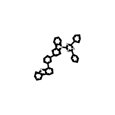 c1ccc(-c2nc(-c3ccccc3)nc(-n3c4ccccc4c4cc(-c5cccc(-c6cccc7c6oc6ccccc67)c5)ccc43)n2)cc1